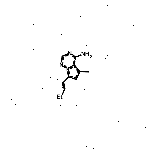 CC/C=C/c1cc(C)c2c(N)ncnn12